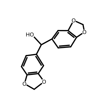 OC(c1ccc2c(c1)OCO2)c1ccc2c(c1)OCO2